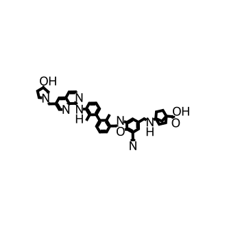 Cc1c(Nc2nccc3cc(CN4CC[C@@H](O)C4)cnc23)cccc1-c1cccc(-c2nc3cc(CNC45CCC(C(=O)O)(CC4)C5)cc(C#N)c3o2)c1C